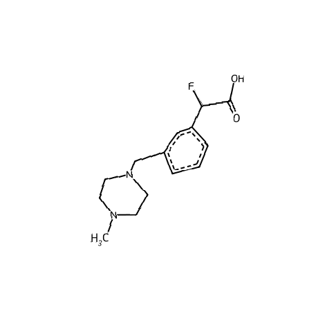 CN1CCN(Cc2cccc(C(F)C(=O)O)c2)CC1